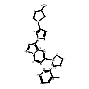 OC1CCN(c2cnn(-c3cnn4ccc(N5CCC[C@@H]5c5ncccc5F)nc34)c2)C1